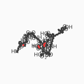 CC[N+]1=C(/C=C/C=C/C=C2/N(CCCCCC(=O)NCCCC[C@@H](NC(=O)[C@@H](CCC(=O)O)NC(=O)[C@@H](CCC(=O)O)NC(=O)[C@@H](CCC(=O)O)NC(=O)[C@@H](CCC(=O)O)NC(=O)[C@@H](CCC(=O)O)NC(=O)COCCNC(=O)CNC(=O)[C@H](C)NC(=O)[C@H](CSC)NC(=O)CNC(=O)[C@H](CC(C)C)NC(=O)[C@@H]3CCCN3C(=O)COCCNC)C(N)=O)c3ccc(S(=O)(=O)O)cc3C2(C)C)C(C)(C)c2cc(S(=O)(=O)O)ccc21